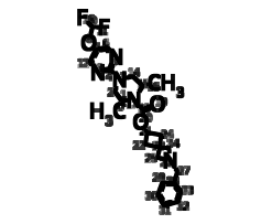 C[C@@H]1CN(c2ncc(OC(F)F)cn2)C[C@H](C)N1C(=O)OC1CC2(C1)CN(Cc1ccccc1)C2